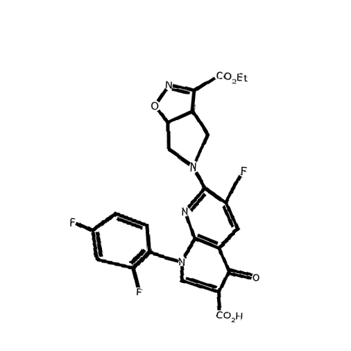 CCOC(=O)C1=NOC2CN(c3nc4c(cc3F)c(=O)c(C(=O)O)cn4-c3ccc(F)cc3F)CC12